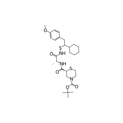 COc1ccc(CC(SNC(=O)[C@@H](C)NC(=O)[C@@H]2CN(C(=O)OC(C)(C)C)CCS2)C2CCCCC2)cc1